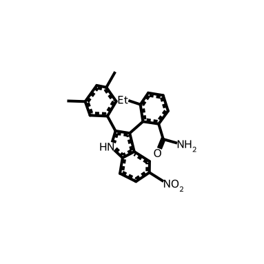 CCc1cccc(C(N)=O)c1-c1c(-c2cc(C)cc(C)c2)[nH]c2ccc([N+](=O)[O-])cc12